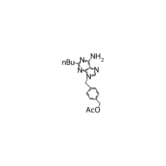 CCCCc1nc(N)c2ncn(Cc3ccc(COC(C)=O)cc3)c2n1